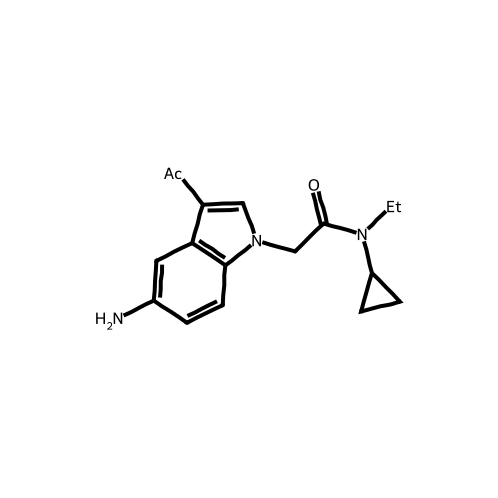 CCN(C(=O)Cn1cc(C(C)=O)c2cc(N)ccc21)C1CC1